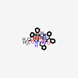 CC(C)(C)OC(=O)N[C@@H](CCc1ccccc1NC(=O)[C@@H](NC(=O)O)C(c1ccccc1)c1ccccc1)CO[Si](c1ccccc1)(c1ccccc1)C(C)(C)C